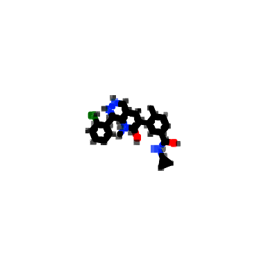 Cc1ccc(C(=O)NC2CC2)cc1-c1cc2cnnc(-c3ccccc3Cl)c2n(C)c1=O